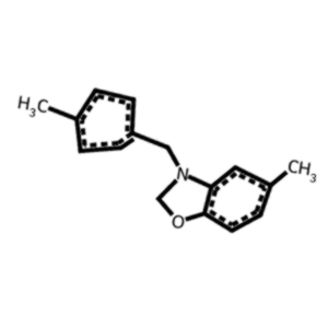 Cc1ccc(CN2COc3ccc(C)cc32)cc1